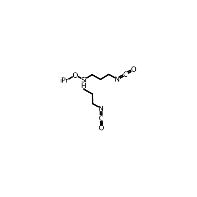 CC(C)O[SiH](CCCN=C=O)CCCN=C=O